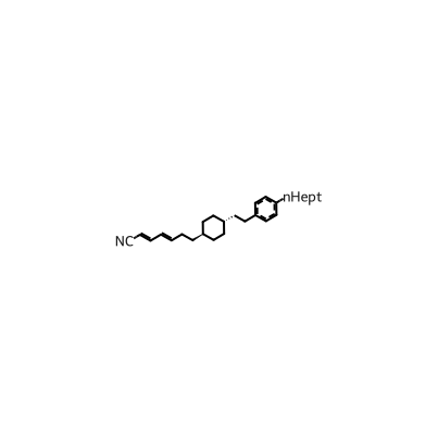 CCCCCCCc1ccc(CC[C@H]2CC[C@H](CCC=CC=CC#N)CC2)cc1